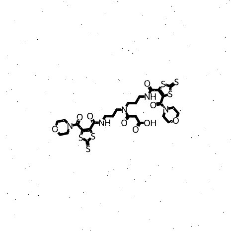 O=C(O)CC(=O)N(CCCNC(=O)c1sc(=S)sc1C(=O)N1CCOCC1)CCCNC(=O)c1sc(=S)sc1C(=O)N1CCOCC1